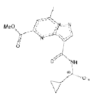 COC(=O)c1cc(C)n2ncc(C(=O)N[C@@H](C3CC3)C(F)(F)F)c2n1